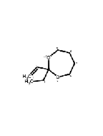 C=CC1(CC)OCCCCO1